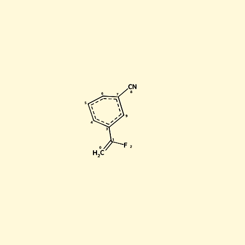 C=C(F)c1cccc(C#N)c1